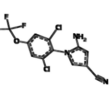 N#Cc1cc(N)n(-c2c(Cl)cc(OC(F)(F)F)cc2Cl)c1